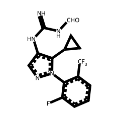 N=C(NC=O)Nc1cnn(-c2c(F)cccc2C(F)(F)F)c1C1CC1